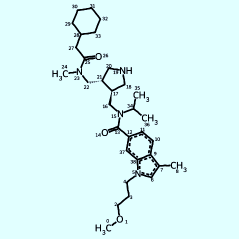 COCCCn1cc(C)c2ccc(C(=O)N(C[C@@H]3CNC[C@H]3CN(C)C(=O)CC3CCCCC3)C(C)C)cc21